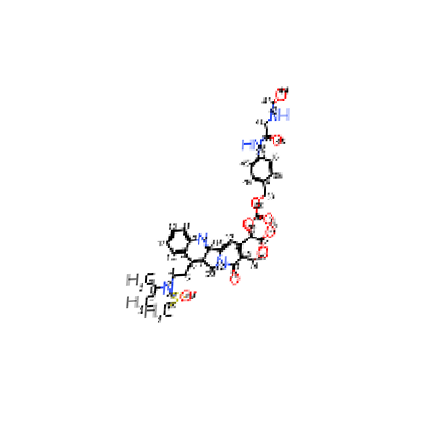 CC(C)N(CCc1c2c(nc3ccccc13)-c1cc3c(c(=O)n1C2)COC(=O)C3OC(=O)OCc1ccc(NC(=O)CNC=O)cc1)[S+](C)[O-]